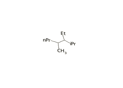 [CH2]C(C)C(CC)C(C)CCC